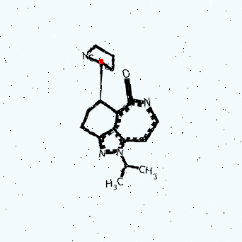 CC(C)n1nc2c3c(c(=O)nccc31)[C@H](C1CN3CCC1CC3)CC2